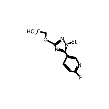 CCn1nc(OCC(=O)O)nc1-c1ccc(F)nc1